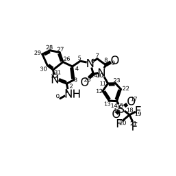 CNc1cc(CN2CC(=O)N(c3ccc(S(=O)(=O)C(F)(F)F)cc3)C2=O)c2ccccc2n1